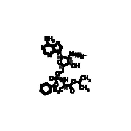 CC(C)OC(=O)[C@@H](C)N[P@](=O)(OC[C@H]1O[C@@H](n2cnc3c(N)ncnc32)[C@H](N=[N+]=[N-])[C@@H]1O)Oc1ccccc1